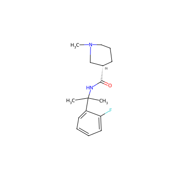 CN1CCC[C@H](C(=O)NC(C)(C)c2ccccc2F)C1